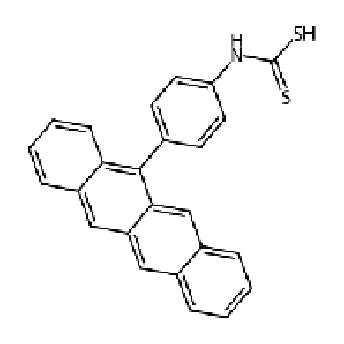 S=C(S)Nc1ccc(-c2c3ccccc3cc3cc4ccccc4cc23)cc1